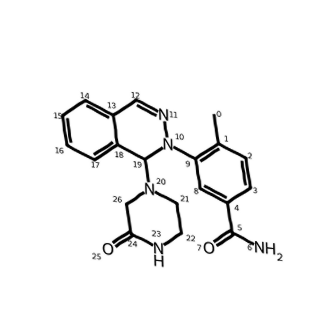 Cc1ccc(C(N)=O)cc1N1N=Cc2ccccc2C1N1CCNC(=O)C1